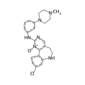 CN1CCN(c2cccc(Nc3ncc4c([n+]3[O-])-c3ccc(Cl)cc3NCC4)c2)CC1